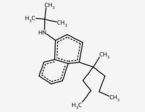 CCCC(C)(CCC)c1ccc(NC(C)(C)C)c2ccccc12